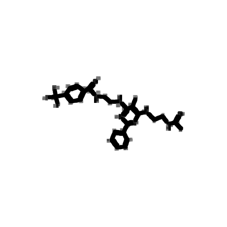 CC(=O)NCCNc1nc(-c2ccccc2)nc(NCCNC(=O)c2ccc(C(F)(F)F)cc2)c1C